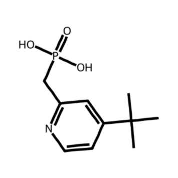 CC(C)(C)c1ccnc(CP(=O)(O)O)c1